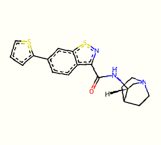 O=C(N[C@@H]1CN2CCC1CC2)c1nsc2cc(-c3cccs3)ccc12